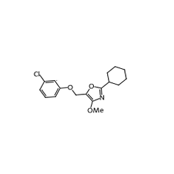 COc1nc(C2CCCCC2)oc1COc1[c]c(Cl)ccc1